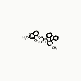 Cc1cc(C)c2c(OCC(O)CN3CCN(C)CC3(c3ccccc3)c3ccccc3)cccc2n1